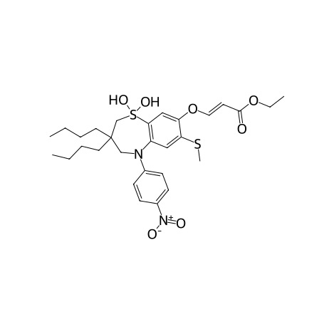 CCCCC1(CCCC)CN(c2ccc([N+](=O)[O-])cc2)c2cc(SC)c(O/C=C/C(=O)OCC)cc2S(O)(O)C1